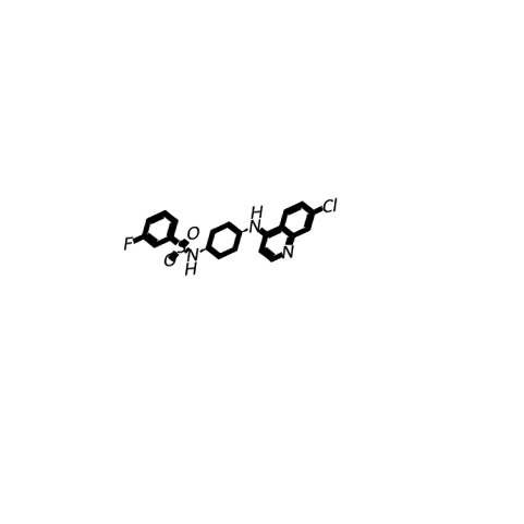 O=S(=O)(N[C@H]1CC[C@@H](Nc2ccnc3cc(Cl)ccc23)CC1)c1cccc(F)c1